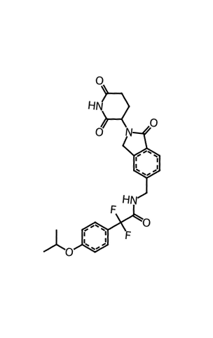 CC(C)Oc1ccc(C(F)(F)C(=O)NCc2ccc3c(c2)CN(C2CCC(=O)NC2=O)C3=O)cc1